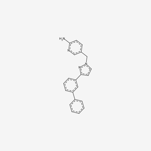 Nc1ccc(Cn2ccc(-c3cccc(-c4ccccc4)c3)n2)cn1